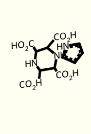 O=C(O)C1NC(C(=O)O)C(C(=O)O)NC1C(=O)O.c1cc[nH]c1